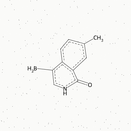 Bc1c[nH]c(=O)c2cc(C)ccc12